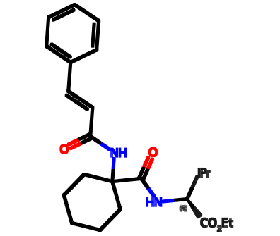 CCOC(=O)[C@@H](NC(=O)C1(NC(=O)C=Cc2ccccc2)CCCCC1)C(C)C